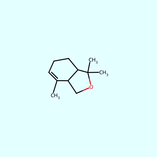 CC1=CCCC2C1COC2(C)C